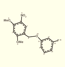 COc1cc(OC)c([N+](=O)[O-])cc1COc1cccc(F)c1